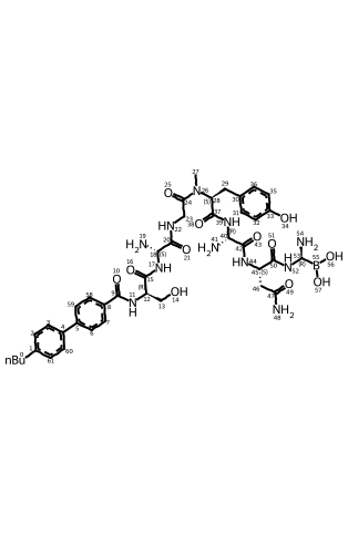 CCCCc1ccc(-c2ccc(C(=O)N[C@H](CO)C(=O)N[C@H](N)C(=O)NCC(=O)N(C)[C@@H](Cc3ccc(O)cc3)C(=O)N[C@@H](N)C(=O)N[C@@H](CC(N)=O)C(=O)N[C@@H](N)B(O)O)cc2)cc1